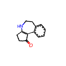 O=C1CCC2=C1c1ccccc1CCN2